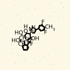 Cc1c(F)cc(-c2cn([C@@H]3[C@@H](O)[C@@H](CO)[SH]([C@@H](c4ccccc4C(F)(F)F)C(C)(C)O)C[C@@H]3O)nn2)cc1F